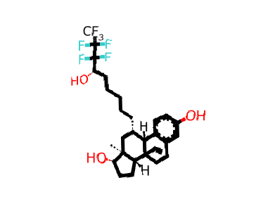 C=CC12CCc3cc(O)ccc3[C@H]1[C@@H](CCCCC[C@H](O)C(F)(F)C(F)(F)C(F)(F)F)C[C@]1(C)[C@@H](O)CC[C@@H]21